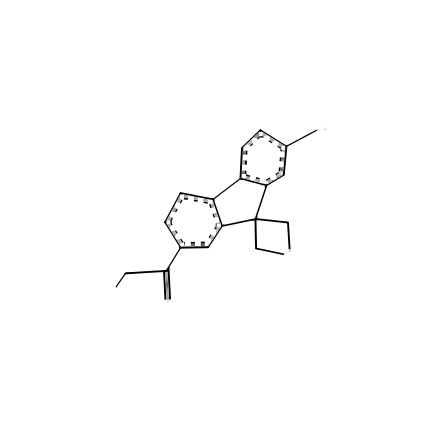 O=C(CBr)c1ccc2c(c1)C1(COC1)c1cc(Br)ccc1-2